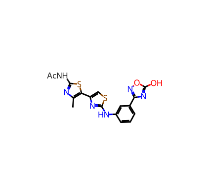 CC(=O)Nc1nc(C)c(-c2csc(Nc3cccc(-c4noc(O)n4)c3)n2)s1